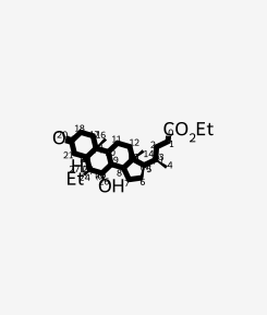 CCOC(=O)CC[C@@H](C)[C@H]1CCC2C3C(CC[C@@]21C)[C@@]1(C)CCC(=O)C[C@H]1[C@H](CC)[C@H]3O